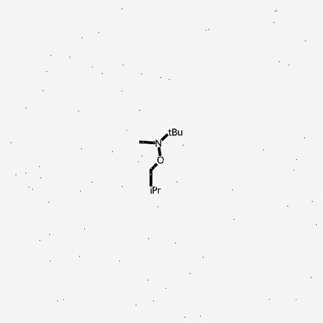 CC(C)CON(C)C(C)(C)C